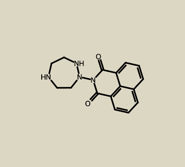 O=C1c2cccc3cccc(c23)C(=O)N1N1CCNCCN1